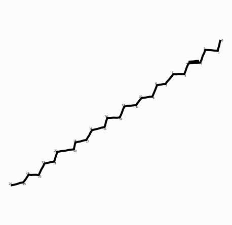 CCC/C=C/CCCCCCCCCCCCCCCCCCCCCC